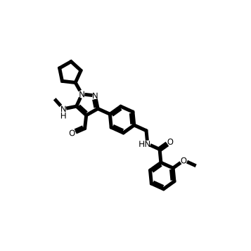 CNc1c(C=O)c(-c2ccc(CNC(=O)c3ccccc3OC)cc2)nn1C1CCCC1